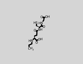 CCCN[C@@H](CCC(=O)N[C@@H](CS)C(=O)NCC(=O)O)C(=O)O